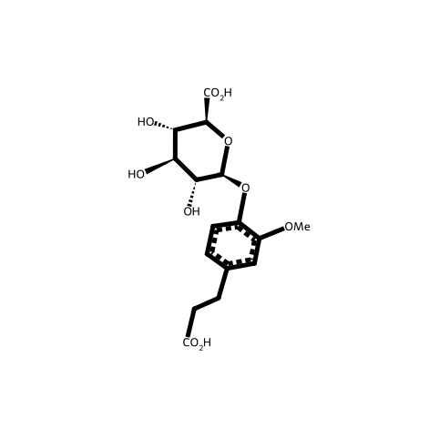 COc1cc(CCC(=O)O)ccc1O[C@@H]1O[C@H](C(=O)O)[C@@H](O)[C@H](O)[C@H]1O